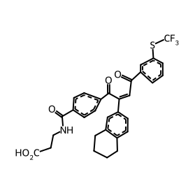 O=C(O)CCNC(=O)c1ccc(C(=O)/C(=C\C(=O)c2cccc(SC(F)(F)F)c2)c2ccc3c(c2)CCCC3)cc1